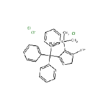 C[Si](C)(C)C1=[C]([Ti+3])CC=C1C(c1ccccc1)(c1ccccc1)c1ccccc1.[Cl-].[Cl-].[Cl-]